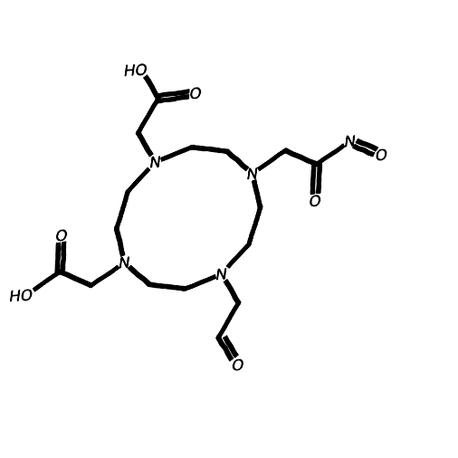 O=CCN1CCN(CC(=O)O)CCN(CC(=O)O)CCN(CC(=O)N=O)CC1